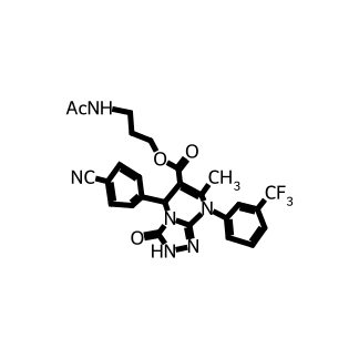 CC(=O)NCCCOC(=O)C1=C(C)N(c2cccc(C(F)(F)F)c2)c2n[nH]c(=O)n2C1c1ccc(C#N)cc1